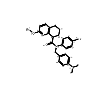 CC(C)Oc1ccc2c(n1)C(C(=O)N(Cc1ccc(N(C)C)cc1)c1ccc(C(C)C)cc1)CCC2